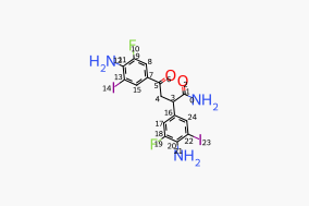 NC(=O)C(CC(=O)c1cc(F)c(N)c(I)c1)c1cc(F)c(N)c(I)c1